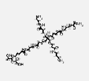 CC(O)[C@@H](OCCCCC(=O)NCCCNC(=O)CCOCC(COCCC(=O)NCCCN)(COCCC(=O)NCCCN)NC(=O)CCCC(=O)NCCCNC(=O)CN)OC(O)CO